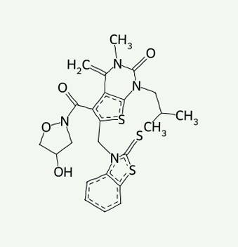 C=C1c2c(sc(Cn3c(=S)sc4ccccc43)c2C(=O)N2CC(O)CO2)N(CC(C)C)C(=O)N1C